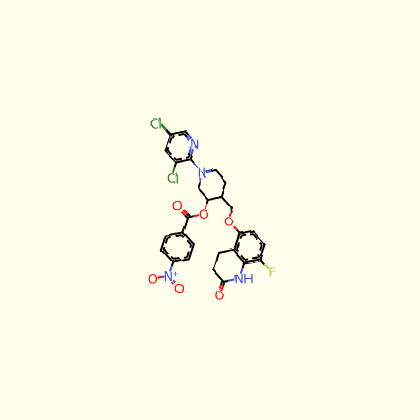 O=C1CCc2c(OCC3CCN(c4ncc(Cl)cc4Cl)CC3OC(=O)c3ccc([N+](=O)[O-])cc3)ccc(F)c2N1